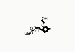 Cc1ccc(CC[C@H](C)NC(=O)OC(C)(C)C)c(OCCO)c1